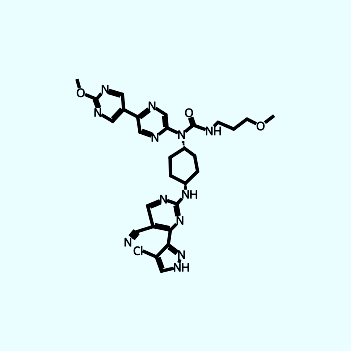 COCCCNC(=O)N(c1cnc(-c2cnc(OC)nc2)cn1)[C@H]1CC[C@H](Nc2ncc(C#N)c(-c3n[nH]cc3Cl)n2)CC1